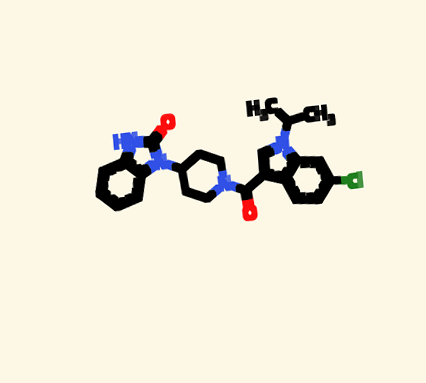 CC(C)n1cc(C(=O)N2CCC(n3c(=O)[nH]c4ccccc43)CC2)c2ccc(Cl)cc21